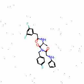 C[C@H](NC(=O)Cc1cc(F)cc(F)c1)C(=O)N(Cc1ccc(F)cc1)C(=O)CNc1ccccc1